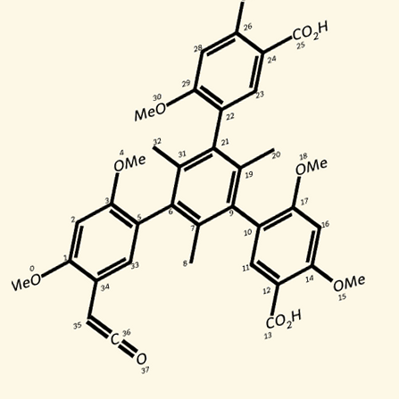 COc1cc(OC)c(-c2c(C)c(-c3cc(C(=O)O)c(OC)cc3OC)c(C)c(-c3cc(C(=O)O)c(OC)cc3OC)c2C)cc1C=C=O